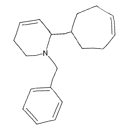 C1=CCCC(C2C=CCCN2Cc2ccccc2)CC1